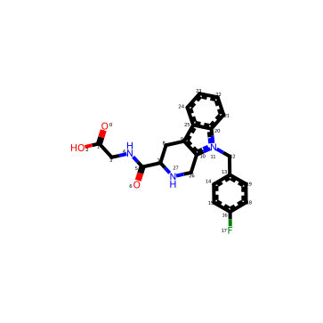 O=C(O)CNC(=O)C1Cc2c(n(Cc3ccc(F)cc3)c3ccccc23)CN1